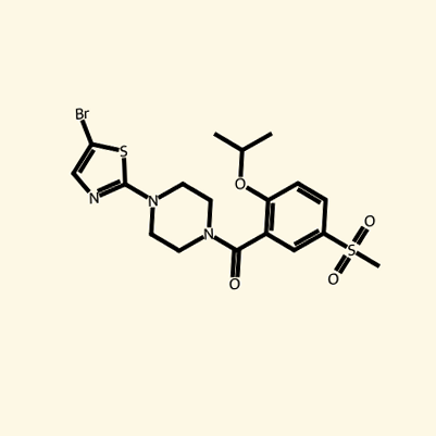 CC(C)Oc1ccc(S(C)(=O)=O)cc1C(=O)N1CCN(c2ncc(Br)s2)CC1